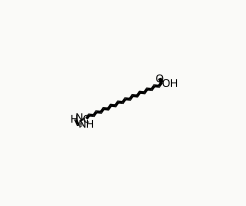 C1=NCCN1.CCCCCCCCCCCCCCCCCCCCCC(=O)O